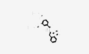 CCOc1ccc(C(=O)NCCc2ccccc2S(=O)(=O)[C]=O)cc1OCC